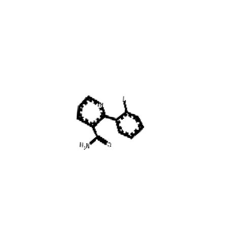 NC(=O)c1cccnc1-c1ccccc1I